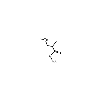 CCCCOC(=O)C(C)C[Te]C